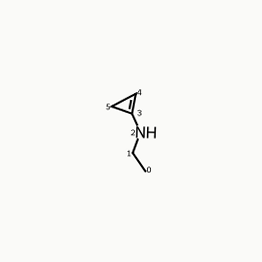 CCNC1=CC1